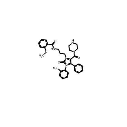 COc1ccccc1C(=O)NCCCn1c(C(=O)N2CCNCC2)c(-c2ccccc2)n(-c2ccccc2C)c1=O